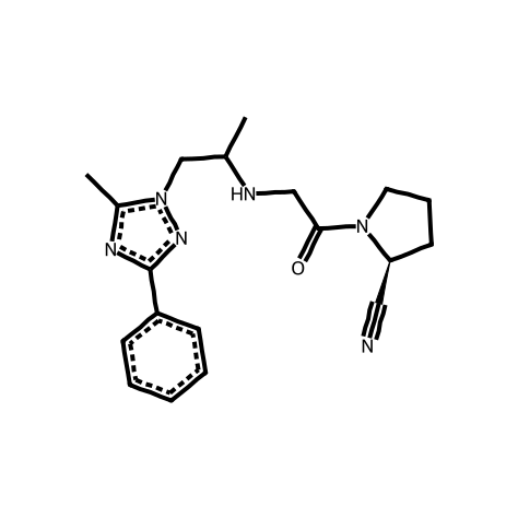 Cc1nc(-c2ccccc2)nn1CC(C)NCC(=O)N1CCC[C@H]1C#N